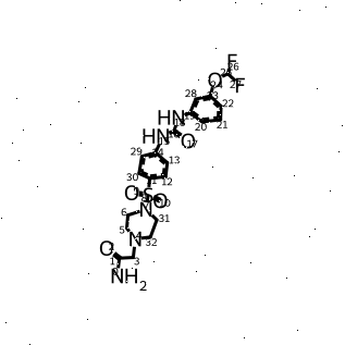 NC(=O)CN1CCN(S(=O)(=O)c2ccc(NC(=O)Nc3cccc(OC(F)F)c3)cc2)CC1